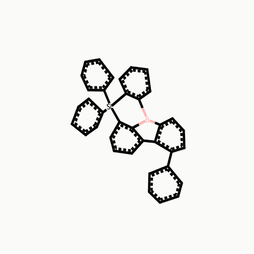 c1ccc(-c2cccc3c2-c2cccc4c2B3c2ccccc2[Si]4(c2ccccc2)c2ccccc2)cc1